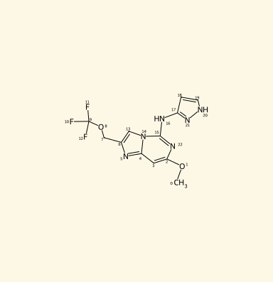 COc1cc2nc(COC(F)(F)F)cn2c(Nc2cc[nH]n2)n1